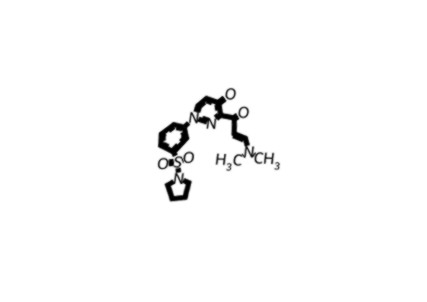 CN(C)C=CC(=O)c1nn(-c2cccc(S(=O)(=O)N3CCCC3)c2)ccc1=O